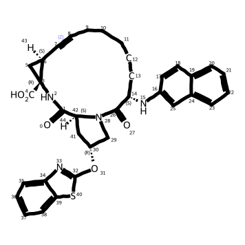 O=C1N[C@]2(C(=O)O)C[C@H]2/C=C\CCCCC[C@H](Nc2ccc3ccccc3c2)C(=O)N2C[C@H](Oc3nc4ccccc4s3)C[C@@H]12